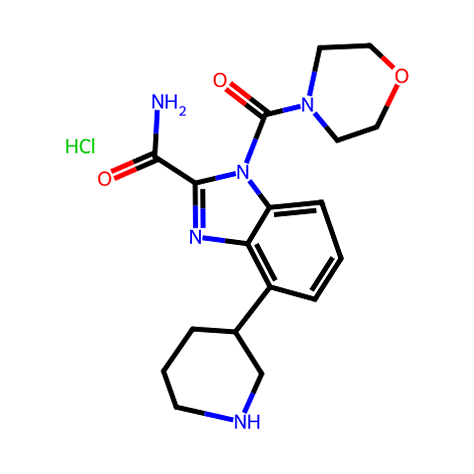 Cl.NC(=O)c1nc2c(C3CCCNC3)cccc2n1C(=O)N1CCOCC1